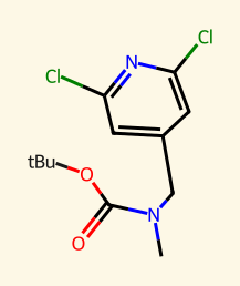 CN(Cc1cc(Cl)nc(Cl)c1)C(=O)OC(C)(C)C